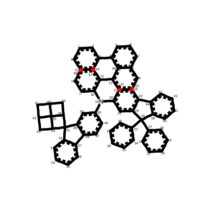 c1ccc(-c2cccc3cccc(-c4ccccc4N(c4ccc5c(c4)C(c4ccccc4)(c4ccccc4)c4ccccc4-5)c4ccc5c(c4)C4(c6ccccc6-5)C5CC6CC7CC4C675)c23)cc1